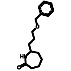 O=C1CCCCC(CCCOCc2ccccc2)N1